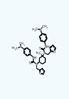 CN(C)c1ccc(NC(=O)N(Cc2ccco2)C2CCCC(C)(N(Cc3ccco3)C(=O)Nc3ccc(N(C)C)cc3)C2)cc1